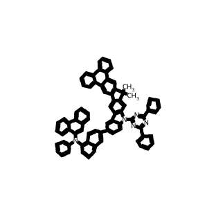 CC1(C)c2cc3c4ccccc4c4ccccc4c3cc2-c2cc3c4cc(-c5ccc6c(N(c7ccccc7)c7cc8ccccc8c8ccccc78)cccc6c5)ccc4n(-c4nc(-c5ccccc5)nc(-c5ccccc5)n4)c3cc21